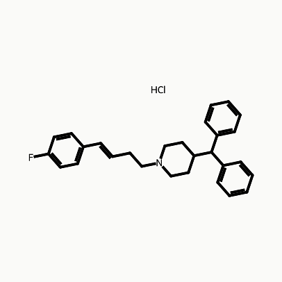 Cl.Fc1ccc(C=CCCN2CCC(C(c3ccccc3)c3ccccc3)CC2)cc1